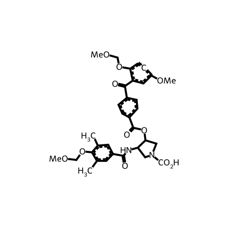 COCOc1ccc(OC)cc1C(=O)c1ccc(C(=O)OC2CN(C(=O)O)CC2NC(=O)c2cc(C)c(OCOC)c(C)c2)cc1